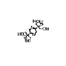 CCOC(CO)(CO)c1cnc(C(CO)(CO)OCC)cn1